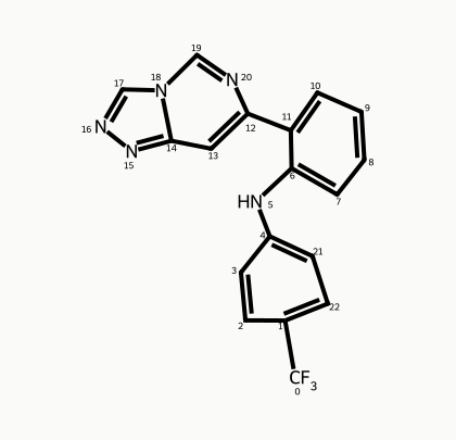 FC(F)(F)c1ccc(Nc2ccccc2-c2cc3nncn3cn2)cc1